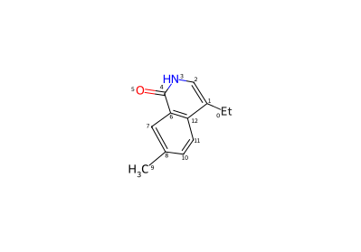 CCc1c[nH]c(=O)c2cc(C)ccc12